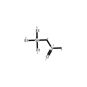 C[CH2][Sn]([CH2]C)([CH2]C)[CH2]S(C)=O